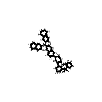 CC1(C)c2ccccc2-n2c3c(c4cccc1c42)CC(c1ccc2cc(N(c4ccc5ccccc5c4)c4ccc5ccccc5c4)ccc2c1)C=C3